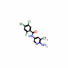 Nc1ncc(NC(=O)c2cc(Cl)c(Br)cc2F)cc1C(F)(F)F